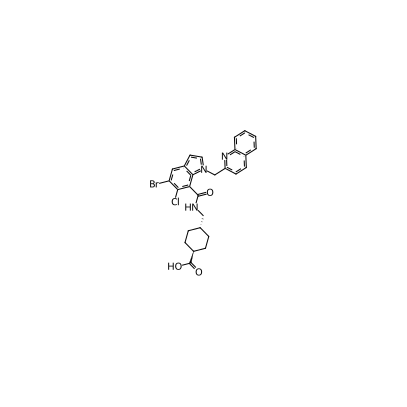 O=C(NC[C@H]1CC[C@H](C(=O)O)CC1)c1c(Cl)c(Br)cc2ccn(Cc3ccc4ccccc4n3)c12